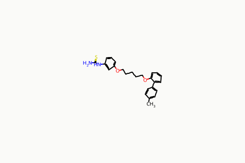 Cc1ccc(-c2ccccc2OCCCCCOc2cccc(NC(N)=S)c2)cc1